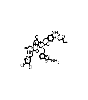 C=CCN(C(=O)NCc1ccc(Cl)c(Cl)c1)N1CC(=O)N2[C@@H](Cc3ccc(OCC(=O)C=C)c(N)c3)C(=O)N(Cc3cccc4sc(N)nc34)C[C@@H]21